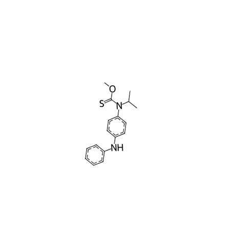 COC(=S)N(c1ccc(Nc2ccccc2)cc1)C(C)C